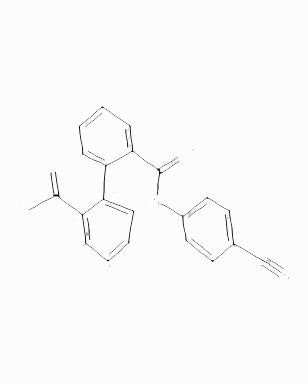 N#Cc1ccc(NC(=O)c2ccccc2-c2ccccc2C(=O)O)cc1